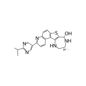 CC(C)c1ncc(-c2ccc3c(ccc4sc5c(c43)NC[C@@H](C)NC5O)n2)cn1